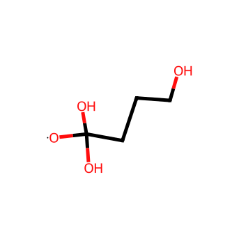 [O]C(O)(O)CCCO